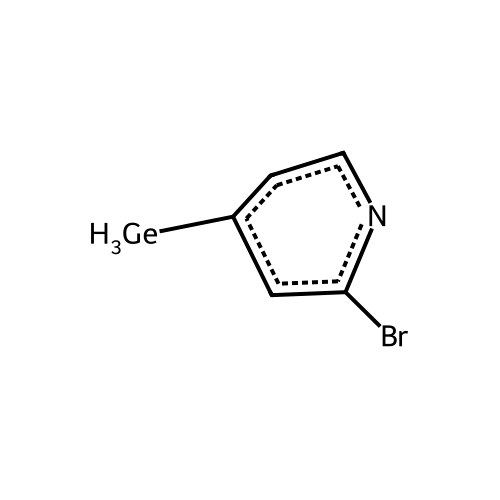 [GeH3][c]1ccnc(Br)c1